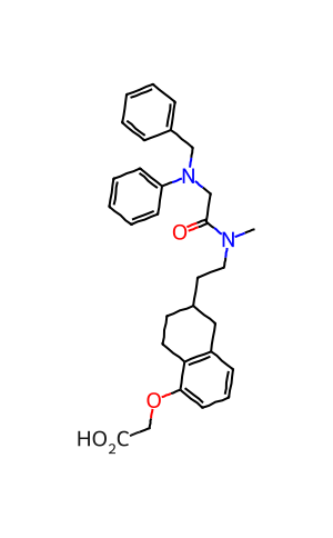 CN(CCC1CCc2c(cccc2OCC(=O)O)C1)C(=O)CN(Cc1ccccc1)c1ccccc1